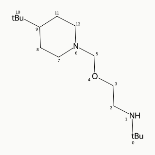 CC(C)(C)NCCOCN1CCC(C(C)(C)C)CC1